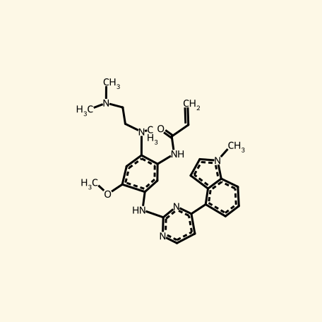 C=CC(=O)Nc1cc(Nc2nccc(-c3cccc4c3ccn4C)n2)c(OC)cc1N(C)CCN(C)C